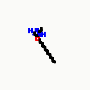 CCCCCCCCCCCCCOC(CC)NC(N)CC